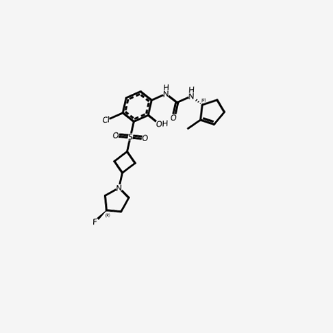 CC1=CCC[C@H]1NC(=O)Nc1ccc(Cl)c(S(=O)(=O)C2CC(N3CC[C@@H](F)C3)C2)c1O